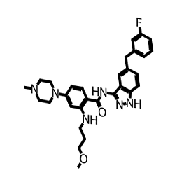 COCCCNc1cc(N2CCN(C)CC2)ccc1C(=O)Nc1n[nH]c2ccc(Cc3cccc(F)c3)cc12